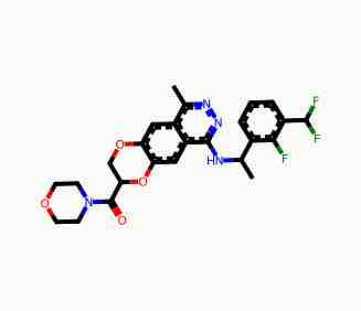 Cc1nnc(NC(C)c2cccc(C(F)F)c2F)c2cc3c(cc12)OCC(C(=O)N1CCOCC1)O3